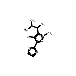 CC(c1c(Cl)c(-c2nccs2)nn1C)N(C)C